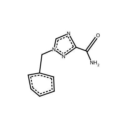 NC(=O)c1ncn(Cc2ccccc2)n1